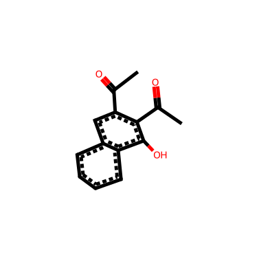 CC(=O)c1cc2ccccc2c(O)c1C(C)=O